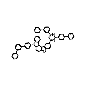 C1=CC2C(c3ccccc3N2c2ccc(-c3cccc(-c4ccccc4)c3)cc2)c2c1oc1ccc(-c3nc(-c4ccc(-c5ccccc5)cc4)nc(-c4cccc(-c5ccccc5)c4)n3)cc21